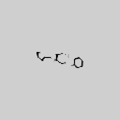 Cc1oc(-c2ccco2)nc1CCOc1ccccc1C#N